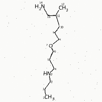 CCCNCCCOCCCC(C)CN